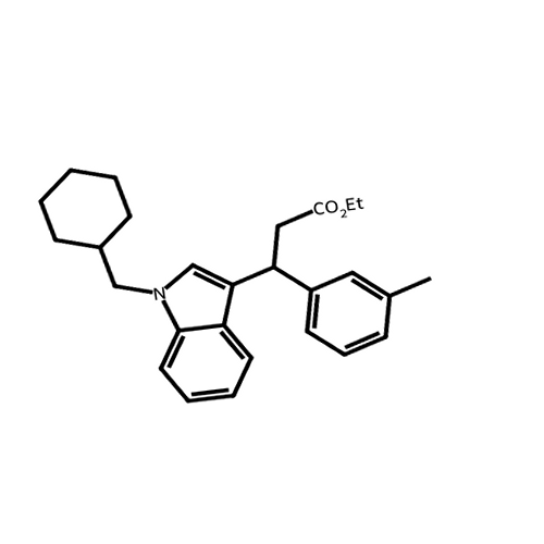 CCOC(=O)CC(c1cccc(C)c1)c1cn(CC2CCCCC2)c2ccccc12